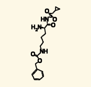 N[C@H](CCCCNC(=O)OCc1ccccc1)C(=O)NS(=O)(=O)C1CC1